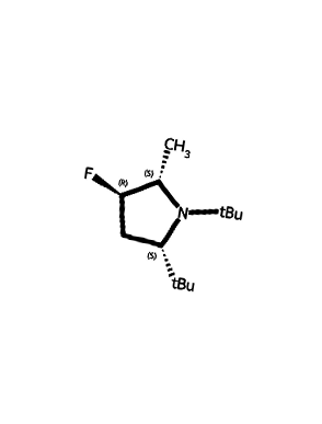 C[C@H]1[C@H](F)C[C@@H](C(C)(C)C)N1C(C)(C)C